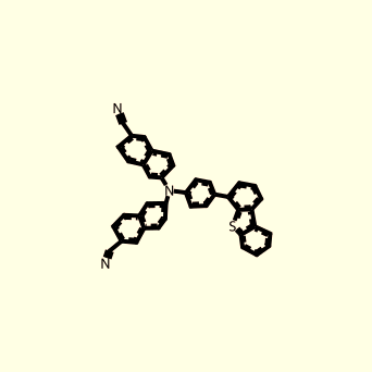 N#Cc1ccc2cc(N(c3ccc(-c4cccc5c4sc4ccccc45)cc3)c3ccc4cc(C#N)ccc4c3)ccc2c1